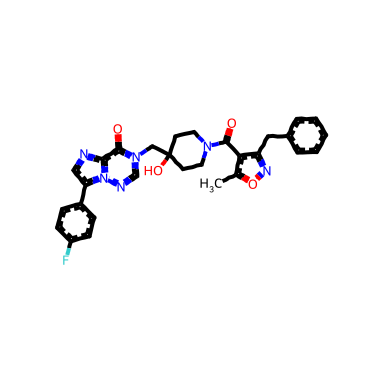 Cc1onc(Cc2ccccc2)c1C(=O)N1CCC(O)(Cn2cnn3c(-c4ccc(F)cc4)cnc3c2=O)CC1